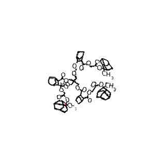 CC1(OC(=O)COC(=O)C2C3CCC(C3)C2OCOCC(CO)(COC(=O)C2C3CCC(C3)C2C(=O)OCC(=O)OC2(C)C3CC4CC(C3)CC2C4)COC(=O)C2C3CCC(C3)C2C(=O)OCC(=O)OC2(C)C3CC4CC(C3)CC2C4)C2CC3CC(C2)CC1C3